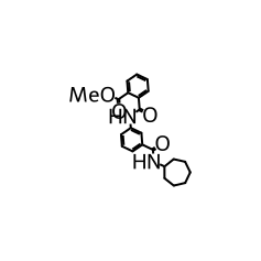 COC(=O)c1ccccc1C(=O)Nc1cccc(C(=O)NC2CCCCCC2)c1